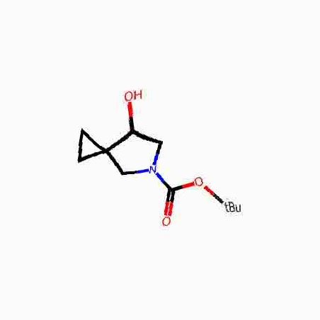 CC(C)(C)OC(=O)N1CC(O)C2(CC2)C1